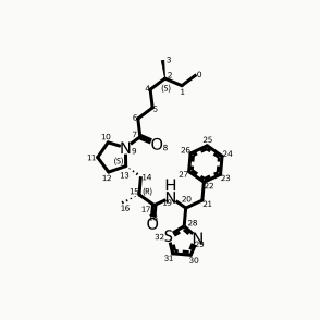 CC[C@H](C)CCCC(=O)N1CCC[C@H]1C[C@@H](C)C(=O)NC(Cc1ccccc1)c1nccs1